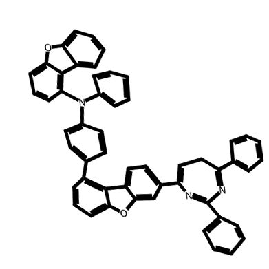 C1=C(c2ccc3c(c2)oc2cccc(-c4ccc(N(c5ccccc5)c5cccc6oc7ccccc7c56)cc4)c23)N=C(c2ccccc2)N=C(c2ccccc2)C1